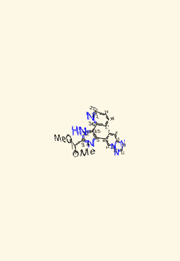 COC(OC)c1nc(-c2ccc3ncnn3c2)c(-c2ccccn2)[nH]1